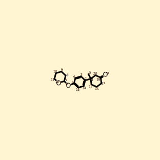 CC1(c2ccc(OC3CCCCO3)cc2)CCCC(=O)C1